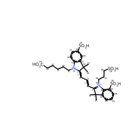 CC1(C)C(/C=C/C=C2/N(CCCCCC(=O)O)c3ccc(S(=O)(=O)O)cc3C2(C)C)=[N+](CCCS(=O)(=O)O)c2c1cccc2S(=O)(=O)O